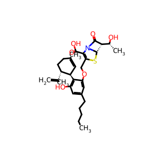 C=C(C)[C@@H]1CCC(C)=C[C@H]1c1c(O)cc(CCCCC)cc1OCC1=C(C(=O)O)N2C(=O)[C@H]([C@@H](C)O)C2S1